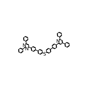 c1ccc(-c2cc(-c3ccccc3)nc(-c3ccc(-c4ccc(Sc5ccc(-c6ccc(-c7cc(-c8ccccc8)nc(-c8ccccc8)n7)cc6)cc5)cc4)cc3)c2)cc1